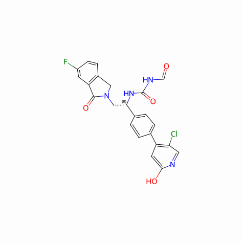 O=CNC(=O)N[C@@H](CN1Cc2ccc(F)cc2C1=O)c1ccc(-c2cc(O)ncc2Cl)cc1